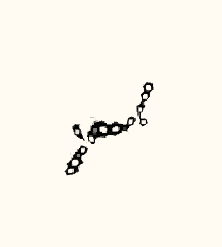 c1ccc(N(c2ccc3c(c2)oc2cc4ccccc4cc23)c2ccc3c(c2)oc2cc4cc5c(cc4cc23)sc2cc(N(c3ccccc3)c3ccc4c(c3)oc3cc6ccccc6cc34)ccc25)cc1